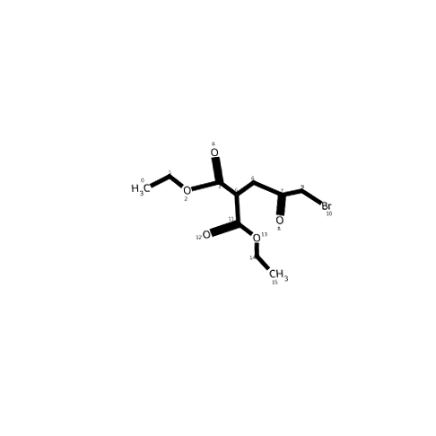 CCOC(=O)C(CC(=O)CBr)C(=O)OCC